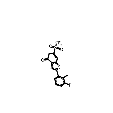 Cc1c(F)cccc1-c1[c]c2c(s1)C=C(S(=O)(=O)C(F)(F)F)CC2=O